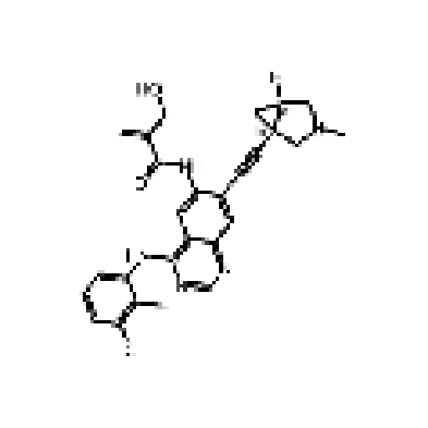 C=C(CO)C(=O)Nc1cc2c(Nc3cccc(Cl)c3F)ncnc2cc1C#C[C@@]12C[C@@H]1CN(C)C2